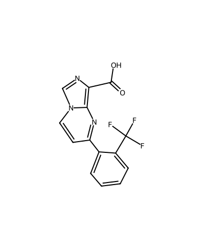 O=C(O)c1ncn2ccc(-c3ccccc3C(F)(F)F)nc12